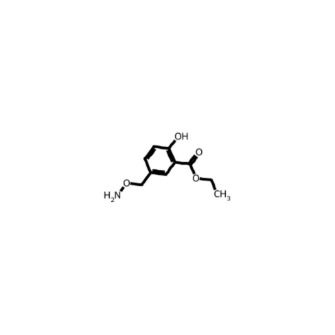 CCOC(=O)c1cc(CON)ccc1O